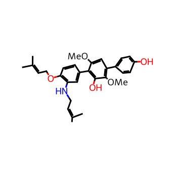 COc1cc(-c2ccc(O)cc2)c(OC)c(O)c1-c1ccc(OCC=C(C)C)c(NCC=C(C)C)c1